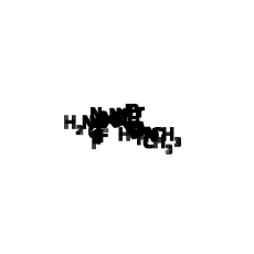 CC(C)n1nc(-c2cnc(N)c(OC(F)F)c2)cc1[C@H]1[C@@H]2CC(F)(CN(C)C)C[C@@H]21